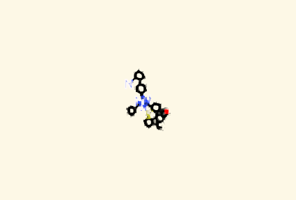 N#Cc1ccccc1-c1ccc(-c2nc(-c3ccccc3)nc(-c3cccc4c3Sc3ccccc3C43c4ccccc4-c4ccccc43)n2)cc1